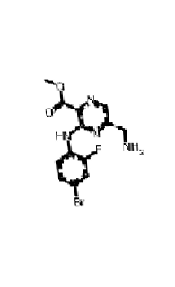 COC(=O)c1ncc(CN)nc1Nc1ccc(Br)cc1F